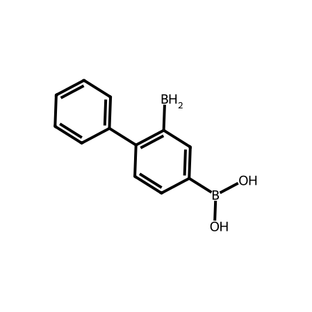 Bc1cc(B(O)O)ccc1-c1ccccc1